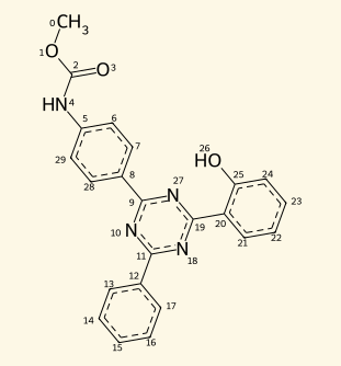 COC(=O)Nc1ccc(-c2nc(-c3ccccc3)nc(-c3ccccc3O)n2)cc1